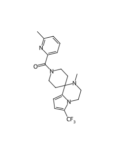 Cc1cccc(C(=O)N2CCC3(CC2)c2ccc(C(F)(F)F)n2CCN3C)n1